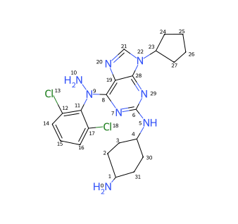 NC1CCC(Nc2nc(N(N)c3c(Cl)cccc3Cl)c3ncn(C4CCCC4)c3n2)CC1